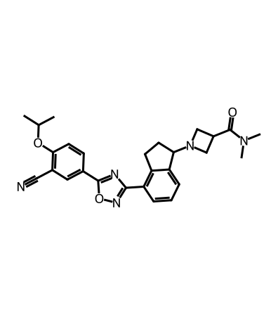 CC(C)Oc1ccc(-c2nc(-c3cccc4c3CCC4N3CC(C(=O)N(C)C)C3)no2)cc1C#N